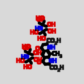 Cc1c2[nH]c(C(=O)O)cc(=O)c2cc2c(=O)cc(C(=O)O)[nH]c12.OCC(CO)(CO)NC(CO)(CO)CO.OCC(CO)(CO)NC(CO)(CO)CO